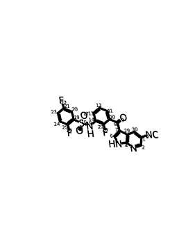 [C-]#[N+]c1cnc2[nH]cc(C(=O)c3cccc(NS(=O)(=O)c4cc(F)ccc4F)c3F)c2c1